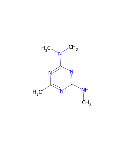 CNc1nc(C)nc(N(C)C)n1